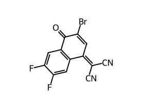 N#CC(C#N)=C1C=C(Br)C(=O)c2cc(F)c(F)cc21